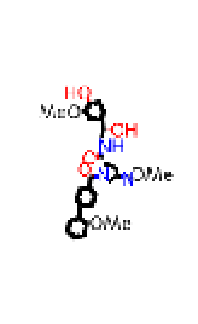 CO/N=C1\C[C@@H](C(=O)NC[C@@H](O)c2ccc(O)c(OC)c2)N(C(=O)c2ccc(-c3ccccc3OC)cc2)C1